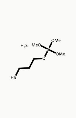 CO[Si](OC)(OC)OCCCS.[SiH4]